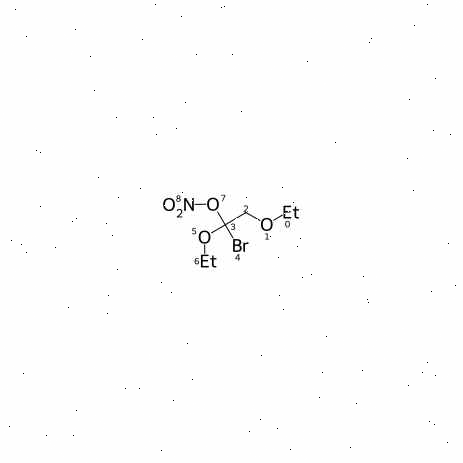 CCOCC(Br)(OCC)O[N+](=O)[O-]